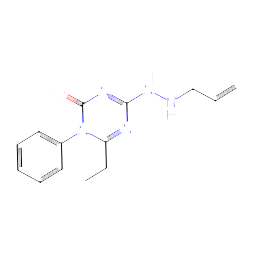 C=CCNNc1nc(CC)n(-c2ccccc2)c(=O)n1